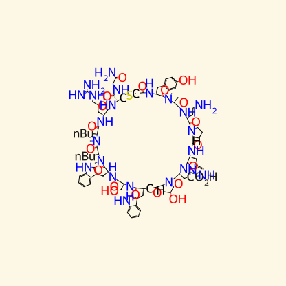 CCCC[C@H]1C(=O)N(C)[C@@H](CCCC)C(=O)N[C@@H](CCCNC(=N)N)C(=O)N[C@H](C(=O)NCC(N)=O)CSCC(=O)N[C@@H](Cc2ccc(O)cc2)C(=O)N(C)[C@@H](C)C(=O)N[C@@H](CCN)C(=O)N2CCC[C@H]2C(=O)N[C@@H](Cc2c[nH]cn2)C(=O)N[C@@H](CC(=O)O)C(=O)N2C[C@H](O)C[C@H]2C(=O)C[C@@H](Cc2c[nH]c3ccccc23)C(=O)N[C@@H](CO)C(=O)N[C@@H](Cc2c[nH]c3ccccc23)C(=O)N1C